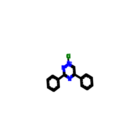 Cl[n+]1cc(-c2ccccc2)nc(-c2ccccc2)n1